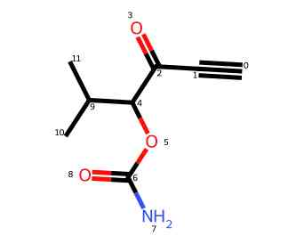 C#CC(=O)C(OC(N)=O)C(C)C